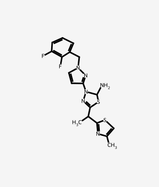 Cc1csc(C(C)C2=NN(c3ccn(Cc4cccc(F)c4F)n3)C(N)S2)n1